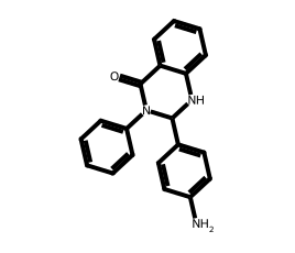 Nc1ccc(C2Nc3ccccc3C(=O)N2c2ccccc2)cc1